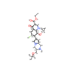 CCOC(=O)c1cn(C2CC2)c2c(OC)c(-c3cc4n(c3)C[C@H](COC(C)(C)C)N(C)C4)c(F)cc2c1=O